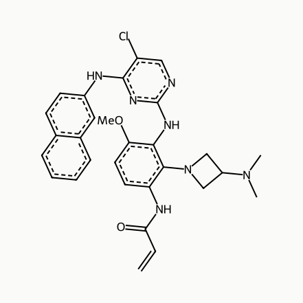 C=CC(=O)Nc1ccc(OC)c(Nc2ncc(Cl)c(Nc3ccc4ccccc4c3)n2)c1N1CC(N(C)C)C1